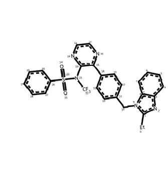 CCc1nc2ccccc2n1Cc1ccc(-c2nccnc2N(C(F)(F)F)S(=O)(=O)c2ccccc2)cc1